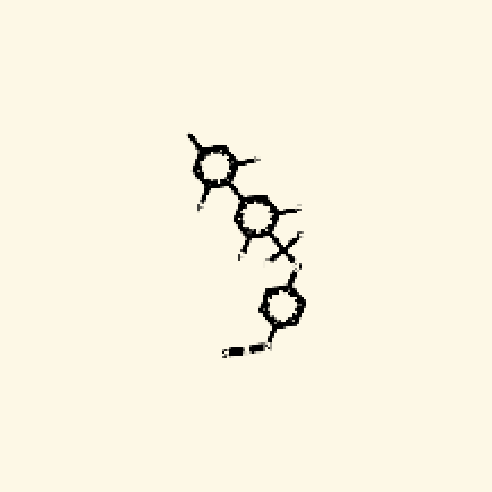 Cc1cc(F)c(-c2cc(F)c(C(F)(F)Oc3ccc(N=C=S)cc3)c(F)c2)c(F)c1